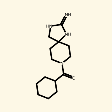 N=C1NCC2(CCN(C(=O)C3CCCCC3)CC2)N1